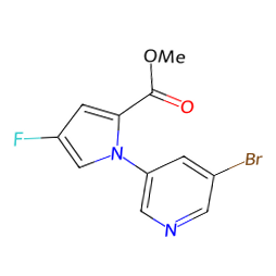 COC(=O)c1cc(F)cn1-c1cncc(Br)c1